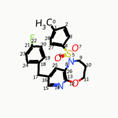 Cc1ccc(S(=O)(=O)N2CCCOc3ncc(Cc4ccc(F)cc4)cc32)cc1